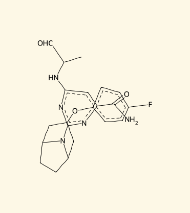 CC(C=O)Nc1cc(C(N)=O)nc(N2C3CCC2CC(Oc2ccc(F)cc2)C3)n1